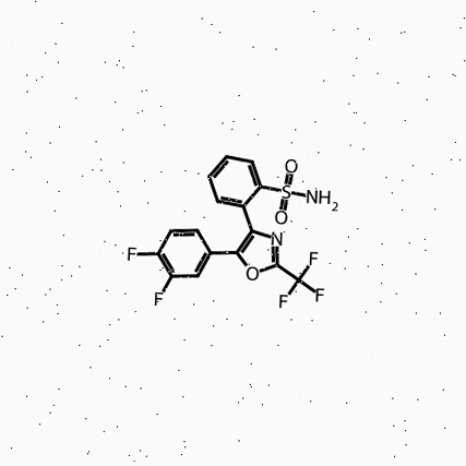 NS(=O)(=O)c1ccccc1-c1nc(C(F)(F)F)oc1-c1ccc(F)c(F)c1